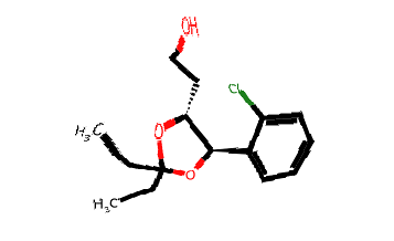 CCC1(CC)O[C@H](c2ccccc2Cl)[C@@H](CCO)O1